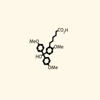 COc1ccc(C(O)(c2ccc(OC)cc2)c2ccc(OC)c(CCCCCC(=O)O)c2)cc1